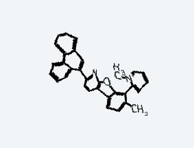 Cc1ccc2c(oc3nc(-c4cc5ccccc5c5ccccc45)ccc32)c1-c1cccc[n+]1C